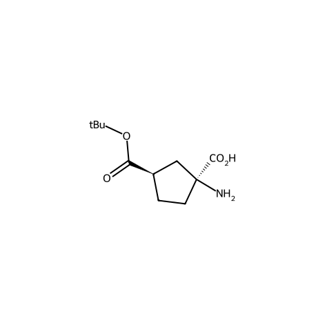 CC(C)(C)OC(=O)[C@@H]1CC[C@@](N)(C(=O)O)C1